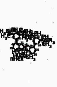 CCCCCC[Si](C)=[Hf]([CH3])([CH3])([CH]1C=Cc2c(-c3cc([Si](C)(C)C)cc([Si](C)(C)C)c3)cccc21)[CH]1C=Cc2c(-c3cc([Si](C)(C)C)cc([Si](C)(C)C)c3)cccc21